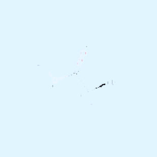 CCCC[C@@H](Br)C(=O)OCC